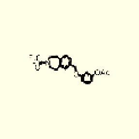 CC(=O)Oc1cccc(OCc2ccc3c(c2)CCN(C(=O)C(F)(F)F)CC3)c1